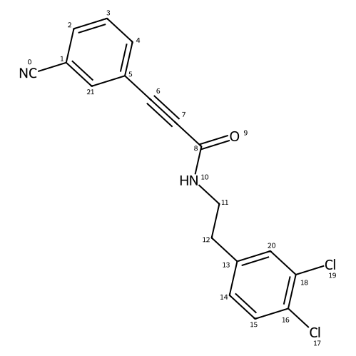 N#Cc1cccc(C#CC(=O)NCCc2ccc(Cl)c(Cl)c2)c1